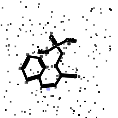 COP(=O)(COC(=O)/C=C\c1ccccc1)OC